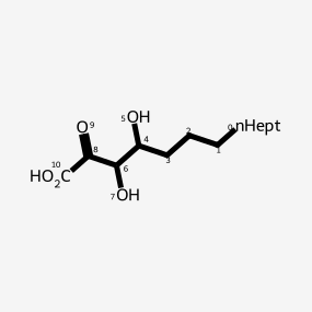 CCCCCCCCCCC(O)C(O)C(=O)C(=O)O